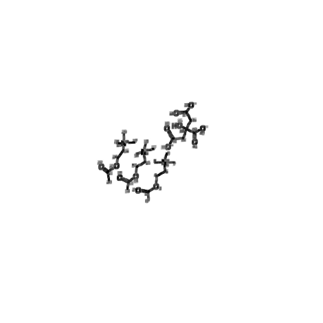 CC(=O)OCC[N+](C)(C)C.CC(=O)OCC[N+](C)(C)C.CC(=O)OCC[N+](C)(C)C.O=C([O-])CC(O)(CC(=O)[O-])C(=O)[O-]